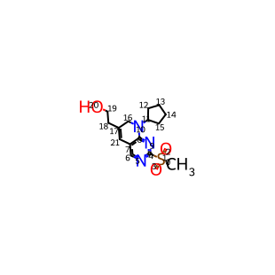 CS(=O)(=O)c1ncc2c(n1)N(C1CCCC1)CC(CCO)=C2